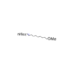 CCCCCC/C=C/CCCCCCCCOC